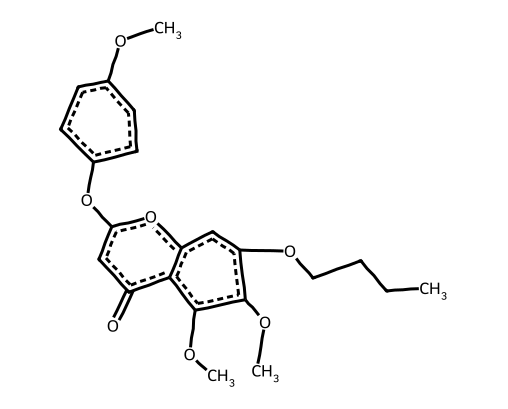 CCCCOc1cc2oc(Oc3ccc(OC)cc3)cc(=O)c2c(OC)c1OC